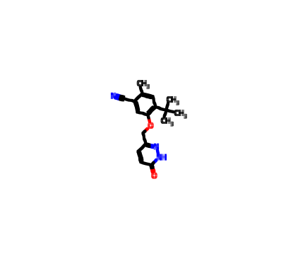 Cc1cc(C(C)(C)C)c(OCc2ccc(=O)[nH]n2)cc1C#N